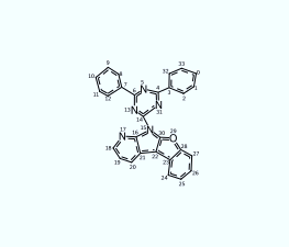 c1ccc(-c2nc(-c3ccccc3)nc(-n3c4ncccc4c4c5ccccc5oc43)n2)cc1